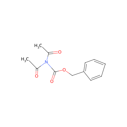 CC(=O)N(C(C)=O)C(=O)OCc1ccccc1